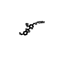 CCSc1cc(COCOC)cnc1-c1nc2cc(C=S)ccc2o1